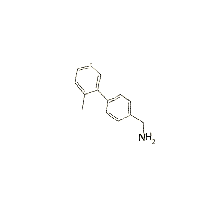 Cc1cc[c]cc1-c1ccc(CN)cc1